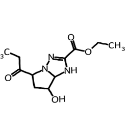 CCOC(=O)C1=NN2C(C(=O)CC)CC(O)C2N1